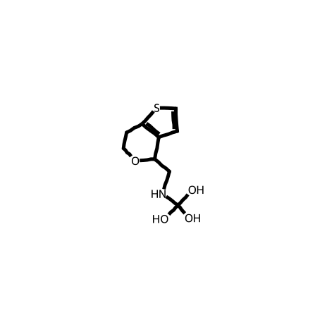 OC(O)(O)NCC1OCCc2sccc21